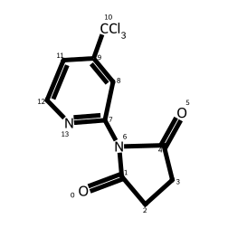 O=C1CCC(=O)N1c1cc(C(Cl)(Cl)Cl)ccn1